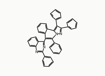 c1ccc(-c2nc(-c3c(-c4ccccc4)n4nc(-c5ccccc5)c(-c5ccccc5)c4c4ccccc34)c3ccccc3n2)cc1